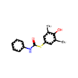 CC(C)(C)c1cc(SC(=O)Nc2ccccc2)cc(C(C)(C)C)c1O